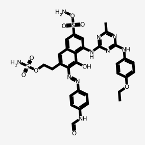 CCOc1ccc(Nc2nc(C)nc(Nc3cc(S(=O)(=O)ON)cc4cc(CCOS(N)(=O)=O)c(N=Nc5ccc(NC=O)cc5)c(O)c34)n2)cc1